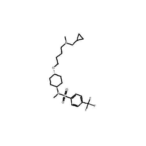 CN(CCCCO[C@H]1CC[C@H](N(C)S(=O)(=O)c2ccc(C(F)(F)F)cc2)CC1)CC1CC1